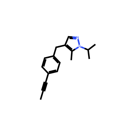 CC#Cc1ccc(Cc2cnn(C(C)C)c2C)cc1